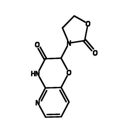 O=C1Nc2ncccc2OC1N1CCOC1=O